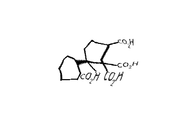 O=C(O)C1CCC(C(=O)O)(C2CCCC2)C1(C(=O)O)C(=O)O